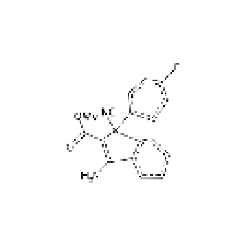 COC(=O)C1=C(N)c2ccccc2C1(C#N)c1ccc(F)cc1